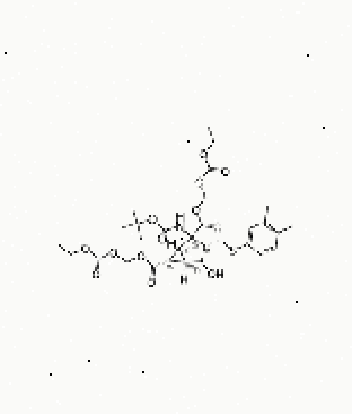 CCOC(=O)OCOC(=O)[C@H]1[C@@H]2[C@H](O)[C@@H](CSc3ccc(C)c(C)c3)[C@@](NC(=O)OC(C)(C)C)(C(=O)OCOC(=O)OCC)[C@H]12